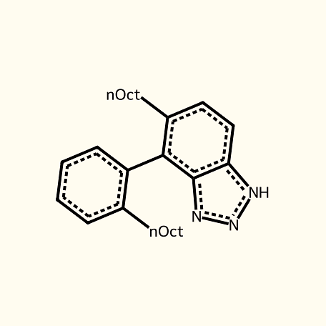 CCCCCCCCc1ccccc1-c1c(CCCCCCCC)ccc2[nH]nnc12